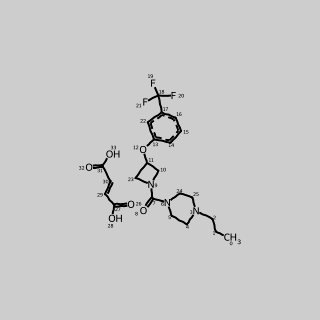 CCCN1CCN(C(=O)N2CC(Oc3cccc(C(F)(F)F)c3)C2)CC1.O=C(O)/C=C/C(=O)O